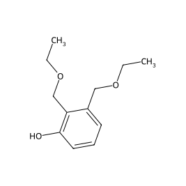 CCOCc1cccc(O)c1COCC